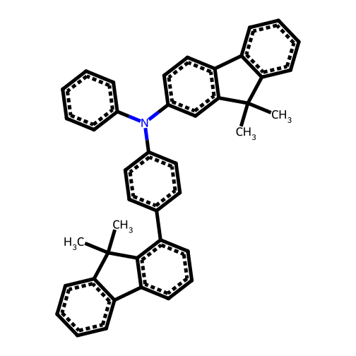 CC1(C)c2ccccc2-c2ccc(N(c3ccccc3)c3ccc(-c4cccc5c4C(C)(C)c4ccccc4-5)cc3)cc21